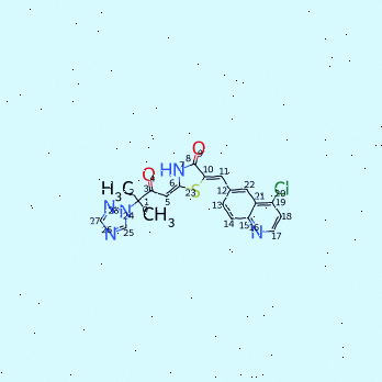 CC(C)(C(=O)/C=c1\[nH]c(=O)/c(=C/c2ccc3nccc(Cl)c3c2)s1)n1cncn1